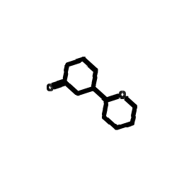 O=C1CCC[C](C2CCCCO2)C1